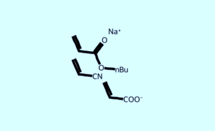 C=CC#N.C=CC(=O)OCCCC.C=CC(=O)[O-].[Na+]